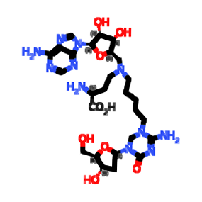 NC1=NC(=O)N([C@H]2C[C@H](O)[C@@H](CO)O2)CN1CCCCCN(CC[C@H](N)C(=O)O)C[C@H]1O[C@@H](n2cnc3c(N)ncnc32)[C@H](O)[C@@H]1O